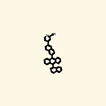 N#Cc1cc(-c2ccc3cc(-c4c5ccccc5c(-c5cccc6ccccc56)c5ccccc45)ccc3c2)ccn1